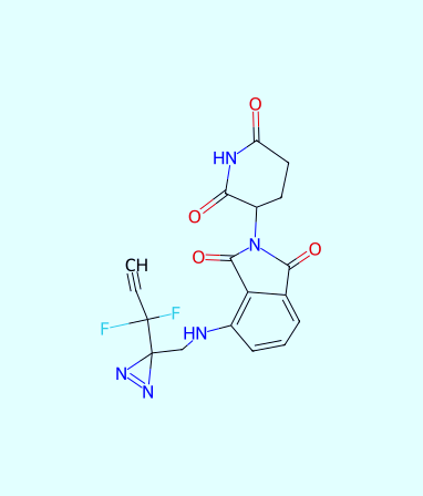 C#CC(F)(F)C1(CNc2cccc3c2C(=O)N(C2CCC(=O)NC2=O)C3=O)N=N1